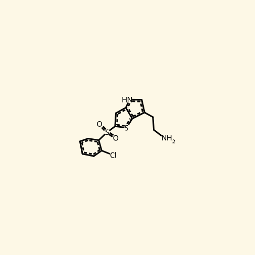 NCCc1c[nH]c2cc(S(=O)(=O)c3ccccc3Cl)sc12